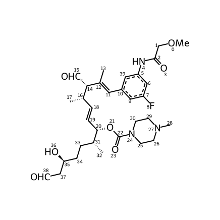 COCC(=O)Nc1cc(F)cc(/C=C(\C)[C@@H](C=O)[C@@H](C)/C=C/[C@H](OC(=O)N2CCN(C)CC2)[C@H](C)CC[C@H](O)CC=O)c1